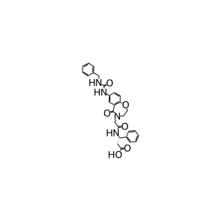 O=C(O)C[C@H](NC(=O)CN1CCOc2ccc(NC(=O)NCc3ccccc3)cc2C1=O)c1ccccc1